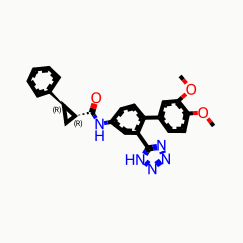 COc1ccc(-c2ccc(NC(=O)[C@@H]3C[C@H]3c3ccccc3)cc2-c2nnn[nH]2)cc1OC